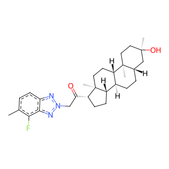 Cc1ccc2nn(CC(=O)[C@H]3CC[C@H]4[C@@H]5CC[C@H]6C[C@](C)(O)CC[C@]6(C)[C@H]5CC[C@]34C)nc2c1F